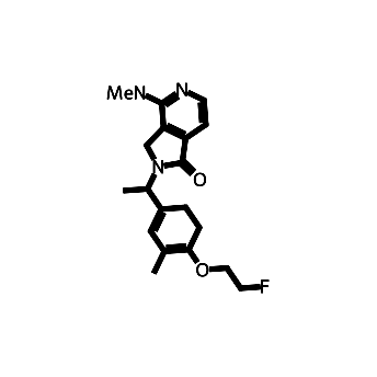 CNc1nccc2c1CN(C(C)C1=CC(C)=C(OCCF)CC1)C2=O